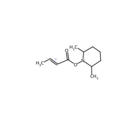 C/C=C/C(=O)ON1C(C)CCCC1C